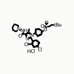 Cc1c(C(=O)NN2CCCCC2)nc(-c2ccc(Cl)cc2Cl)n1-c1ccc(OS(=O)(=O)CCC(C)(C)C)cc1.Cl